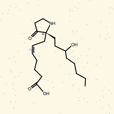 CCCCCC(O)CC[C@]1(C/C=C\CCCC(=O)O)NCCC1=O